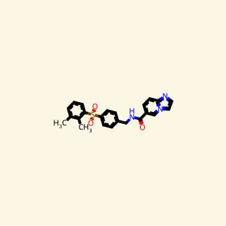 Cc1cccc(S(=O)(=O)c2ccc(CNC(=O)c3ccc4nccn4c3)cc2)c1C